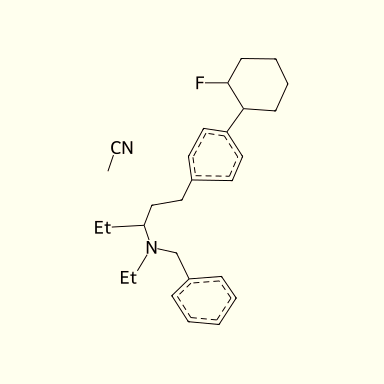 CC#N.CCC(CCc1ccc(C2CCCCC2F)cc1)N(CC)Cc1ccccc1